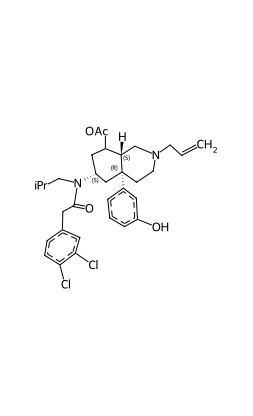 C=CCN1CC[C@@]2(c3cccc(O)c3)C[C@H](N(CC(C)C)C(=O)Cc3ccc(Cl)c(Cl)c3)CC(OC(C)=O)[C@@H]2C1